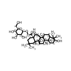 CC1(C)CC[C@]2(C(=O)OO[C@@H]3O[C@H](CO)[C@@H](O)[C@H](O)[C@H]3O)[C@H](O)C[C@]3(C)C(=CC[C@@H]4[C@@]5(C)CC[C@H](O)C(C)(C)C5CC[C@]43C)[C@H]2C1